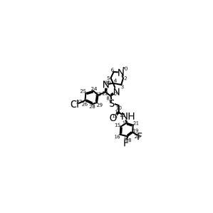 CN1CCC2(CC1)N=C(SCC(=O)Nc1ccc(F)c(F)c1)C(c1ccc(Cl)cc1)=N2